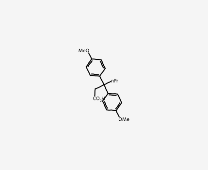 CCCC(CC(=O)O)(c1ccc(OC)cc1)c1ccc(OC)cc1